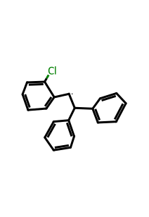 Clc1ccccc1[CH]C(c1ccccc1)c1ccccc1